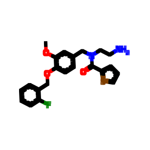 COc1cc(CN(CCN)C(=O)c2cccs2)ccc1OCc1ccccc1F